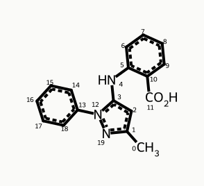 Cc1cc(Nc2ccccc2C(=O)O)n(-c2ccccc2)n1